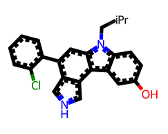 CC(C)Cn1c2ccc(O)cc2c2c3c[nH]cc3c(-c3ccccc3Cl)cc21